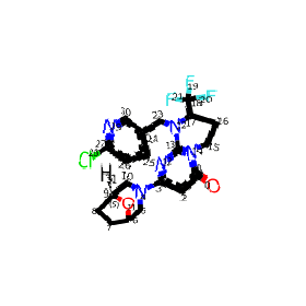 O=c1cc(N2CC3CC[C@@H](C2)O3)nc2n1CCC(C(F)(F)F)N2Cc1ccc(Cl)nc1